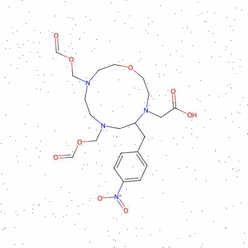 O=COCN1CCOCCN(CC(=O)O)C(Cc2ccc([N+](=O)[O-])cc2)CN(COC=O)CC1